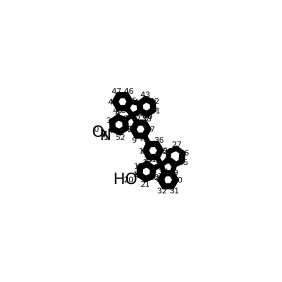 O=Nc1ccc(C2(c3ccc(-c4ccc(C5(c6ccc(O)cc6)C6=C(C=CCC6)c6ccccc65)cc4)cc3)c3ccccc3-c3ccccc32)cc1